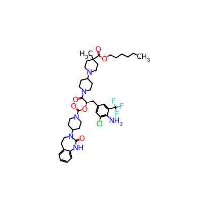 CCCCCCOC(=O)C1(C)CCN(C2CCN(C(=O)[C@@H](Cc3cc(Cl)c(N)c(C(F)(F)F)c3)OC(=O)N3CCC(N4CCc5ccccc5NC4=O)CC3)CC2)CC1